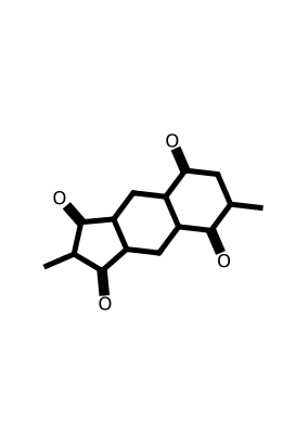 CC1CC(=O)C2CC3C(=O)C(C)C(=O)C3CC2C1=O